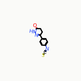 O=C1CCC(c2ccc(N=C=S)cc2)=NN1